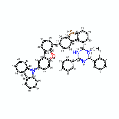 CN1C(c2ccccc2)N=C(c2ccccc2)NC1c1cccc2sc3cc(-c4cccc5c4oc4ccc(-n6c7ccccc7c7ccccc76)cc45)ccc3c12